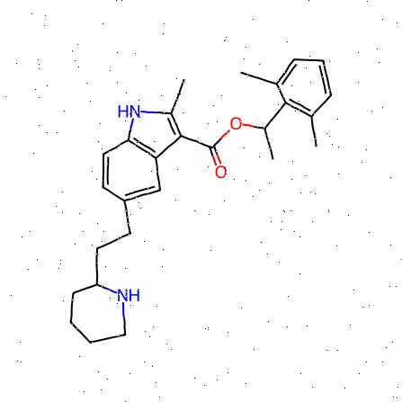 Cc1cccc(C)c1C(C)OC(=O)c1c(C)[nH]c2ccc(CCC3CCCCN3)cc12